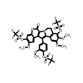 COc1cc(-c2c3n(c4c(=O)oc5cc(OS(=O)(=O)C(F)(F)F)c(OC)cc5c24)CCc2c-3cc(OC)c(OC)c2OS(=O)(=O)C(F)(F)F)ccc1OS(=O)(=O)C(F)(F)F